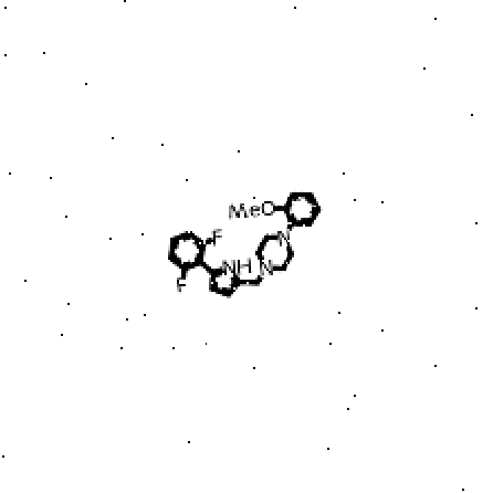 COc1ccccc1N1CCN(Cc2ccc(-c3c(F)cccc3F)[nH]2)CC1